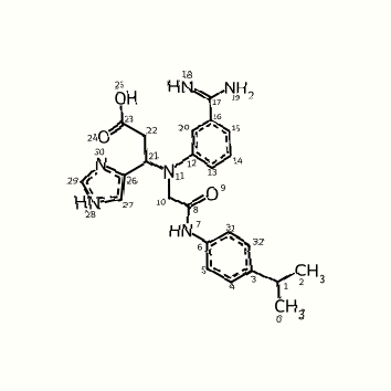 CC(C)c1ccc(NC(=O)CN(c2cccc(C(=N)N)c2)C(CC(=O)O)c2c[nH]cn2)cc1